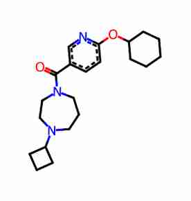 O=C(c1ccc(OC2CCCCC2)nc1)N1CCCN(C2CCC2)CC1